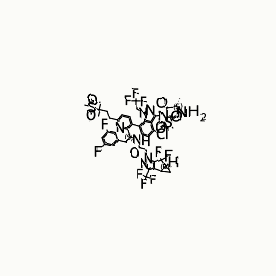 C[C@H](N)C(=O)N(c1nn(CC(F)(F)F)c2c(-c3ccc(CCC(C)(C)S(C)(=O)=O)nc3[C@H](Cc3cc(F)cc(F)c3)NC(=O)Cn3nc(C(F)(F)F)c4c3C(F)(F)[C@@H]3CC43)ccc(Cl)c12)S(C)(=O)=O